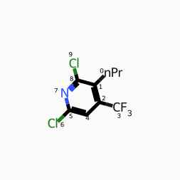 CCCc1c(C(F)(F)F)cc(Cl)nc1Cl